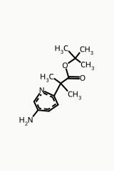 CC(C)(C)OC(=O)C(C)(C)c1ccc(N)cn1